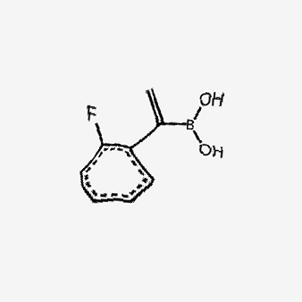 C=C(B(O)O)c1ccccc1F